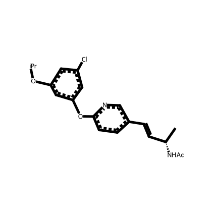 CC(=O)N[C@@H](C)/C=C/c1ccc(Oc2cc(Cl)cc(OC(C)C)c2)nc1